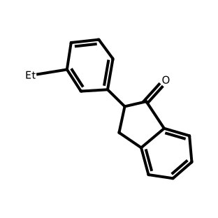 CCc1cccc(C2Cc3ccccc3C2=O)c1